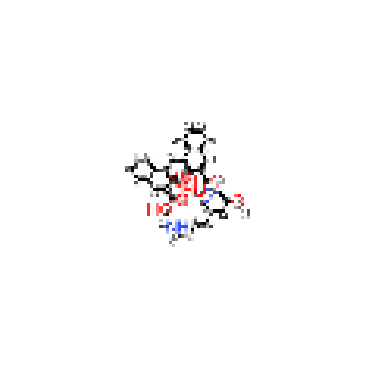 CN[C@@H](C)C/C=C/c1cncc(OC)c1.O=C(O)c1cc2ccccc2c(Cc2c(O)c(C(=O)O)cc3ccccc23)c1O